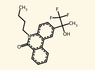 CCCCn1c(=O)c2ccccc2c2cc(C(C)(O)C(F)(F)F)ccc21